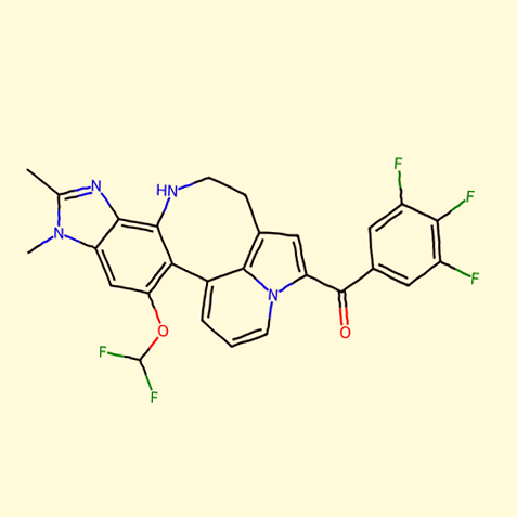 Cc1nc2c3c(c(OC(F)F)cc2n1C)-c1cccn2c(C(=O)c4cc(F)c(F)c(F)c4)cc(c12)CCN3